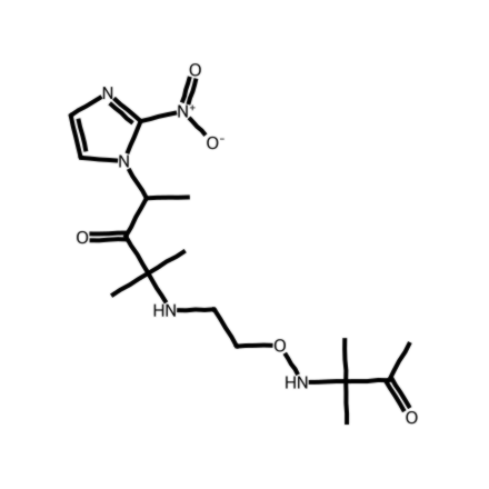 CC(=O)C(C)(C)NOCCNC(C)(C)C(=O)C(C)n1ccnc1[N+](=O)[O-]